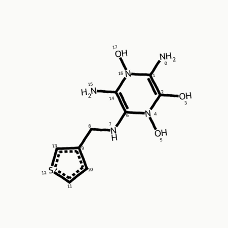 NC1=C(O)N(O)C(NCc2ccsc2)=C(N)N1O